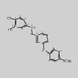 COc1ccc(Oc2cccc(CNc3ccc(O)c(Cl)c3)c2)cc1